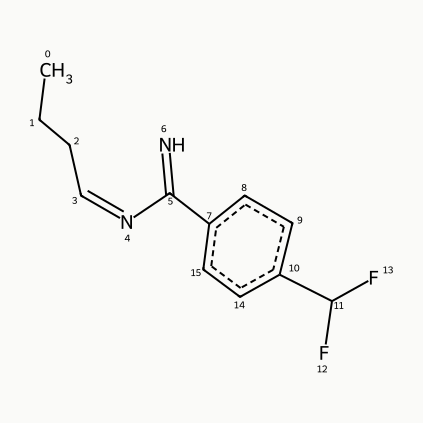 CCC/C=N\C(=N)c1ccc(C(F)F)cc1